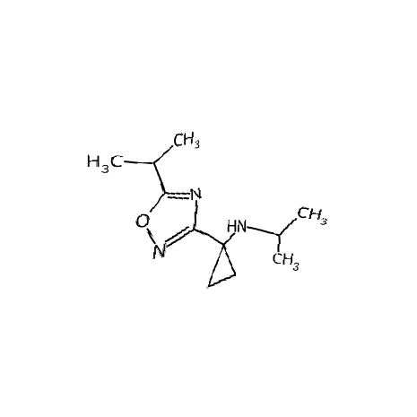 CC(C)NC1(c2noc(C(C)C)n2)CC1